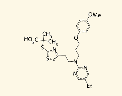 CCc1cnc(N(CCCOc2ccc(OC)cc2)CCc2csc(SC(C)(C)C(=O)O)n2)nc1